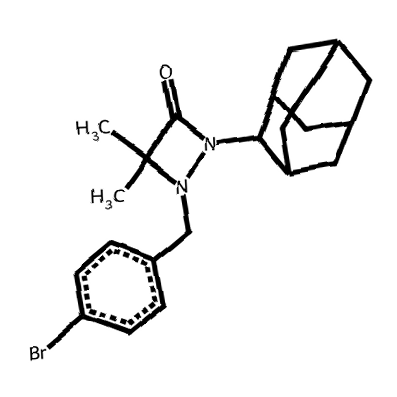 CC1(C)C(=O)N(C2C3CC4CC(C3)CC2C4)N1Cc1ccc(Br)cc1